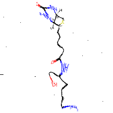 NCCCCC(CO)NC(=O)CCCC[C@@H]1SC[C@@H]2NC(=O)N[C@@H]21